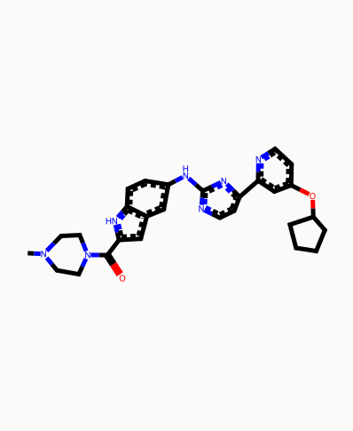 CN1CCN(C(=O)c2cc3cc(Nc4nccc(-c5cc(OC6CCCC6)ccn5)n4)ccc3[nH]2)CC1